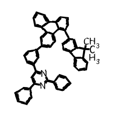 CC1(C)c2ccccc2-c2ccc(-c3cccc4c5ccccc5c5cc(-c6cccc(-c7cc(-c8ccccc8)nc(-c8ccccc8)n7)c6)ccc5c34)cc21